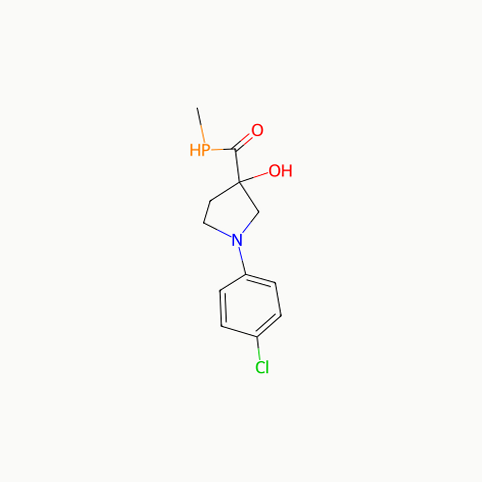 CPC(=O)C1(O)CCN(c2ccc(Cl)cc2)C1